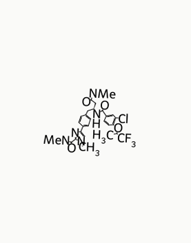 CNC(=O)C[C@H](Cc1ccc(-c2cn(C)c(C(=O)NC)n2)cc1)NC(=O)c1ccc(O[C@H](C)C(F)(F)F)c(Cl)c1